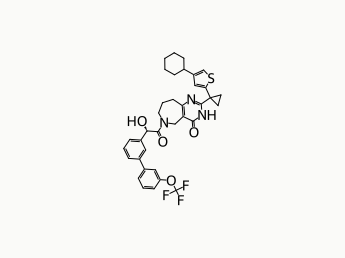 O=C([C@H](O)c1cccc(-c2cccc(OC(F)(F)F)c2)c1)N1CCCc2nc(C3(c4cc(C5CCCCC5)cs4)CC3)[nH]c(=O)c2C1